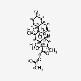 CC(=O)OCC(=O)[C@@]1(O)C(C)C[C@H]2[C@@H]3C=CC4=CC(=O)C=C[C@]4(C)[C@@]3(Cl)C(Cl)C[C@@]21C